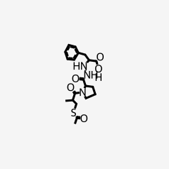 CC(=O)SCC(C)C(=O)N1CCCC1C(=O)NNC(Cc1ccccc1)C(=O)O